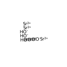 [OH-].[OH-].[OH-].[OH-].[OH-].[OH-].[Sr+2].[Sr+2].[Sr+2]